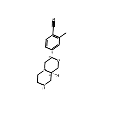 Cc1cc([C@H]2CN3CCNC[C@@H]3CO2)ccc1C#N